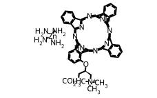 C[N+](C)(C)C[C@@H](CC(=O)O)Oc1cccc2c3nc4nc(nc5[nH]c(nc6nc(nc([nH]3)c12)-c1ccccc1-6)c1ccccc51)-c1ccccc1-4.[NH2][Zn]([NH2])([NH2])[NH2]